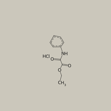 CCOC(=O)C(=O)Nc1ccccc1.Cl